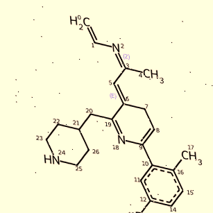 C=C/N=C(C)\C=C1/CC=C(c2cc(F)ccc2C)N=C1CC1CCNCC1